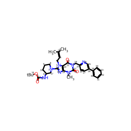 CC(C)=CCn1c(N2CCCC(NC(=O)OC(C)(C)C)C2)nc2c1c(=O)n(Cc1ccc(-c3ccccc3)cn1)c(=O)n2C